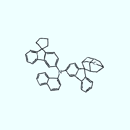 c1ccc2c(c1)-c1cc(N(c3ccc4c(c3)-c3ccccc3C43C4CCC5CC(C4)CC3C5)c3cccc4ccccc34)ccc1C21CCCC1